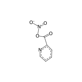 O=C(O[N+](=O)[O-])c1ccccn1